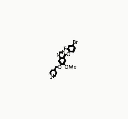 COc1cc2c(Oc3ccc(Br)cc3F)ncnc2cc1OCC1CCN(C)CC1